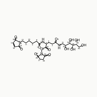 O=C(CC[C@H](NC(=O)CCCCCN1C(=O)C=CC1=O)C(=O)ON1C(=O)CCC1=O)NC[C@H](O)[C@@H](O)[C@H](O)[C@H](O)CO